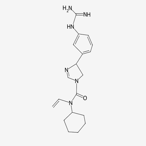 C=CN(C(=O)N1C=NC(c2cccc(NC(=N)N)c2)C1)C1CCCCC1